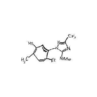 CCc1cc(C)c(S)cc1-n1nc(C(F)(F)F)nc1NC